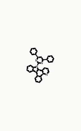 c1ccc(-c2cc(-c3ccccc3)nc(-n3c4ccccc4c4c5ccccc5c5ncccc5c43)n2)cc1